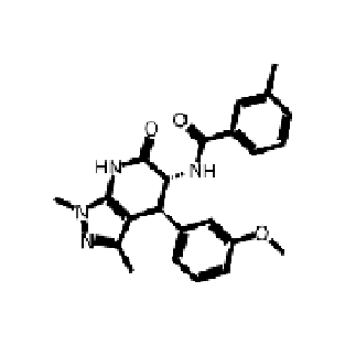 COc1cccc([C@H]2c3c(C)nn(C)c3NC(=O)[C@@H]2NC(=O)c2cccc(C)c2)c1